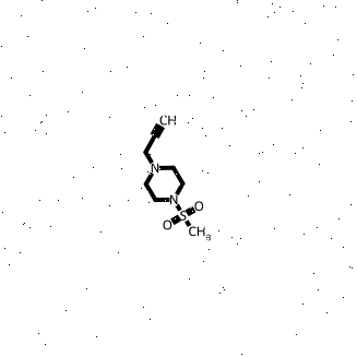 C#CCN1CCN(S(C)(=O)=O)CC1